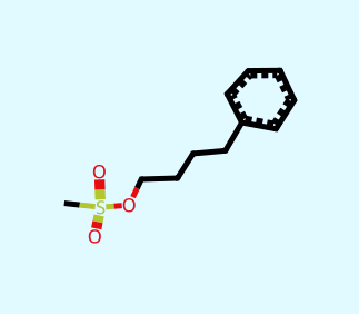 CS(=O)(=O)OCCCCc1ccccc1